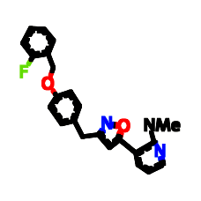 CNc1ncccc1-c1cc(Cc2ccc(OCc3ccccc3F)cc2)no1